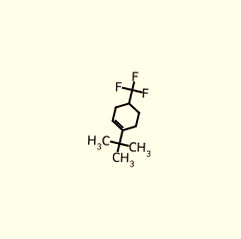 CC(C)(C)C1=CCC(C(F)(F)F)CC1